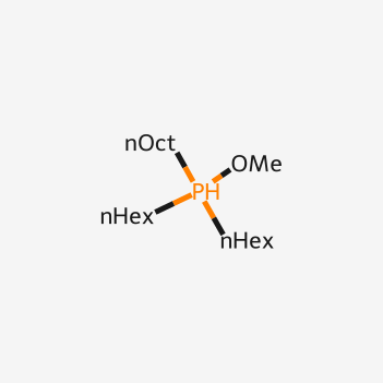 CCCCCCCC[PH](CCCCCC)(CCCCCC)OC